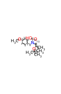 COc1ccc(CN2C(O)OC[C@@H]2[C@H](C)OC(C)(C)C)cc1